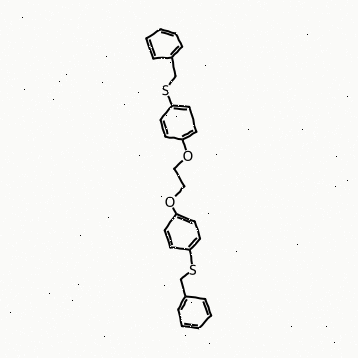 c1ccc(CSc2ccc(OCCOc3ccc(SCc4ccccc4)cc3)cc2)cc1